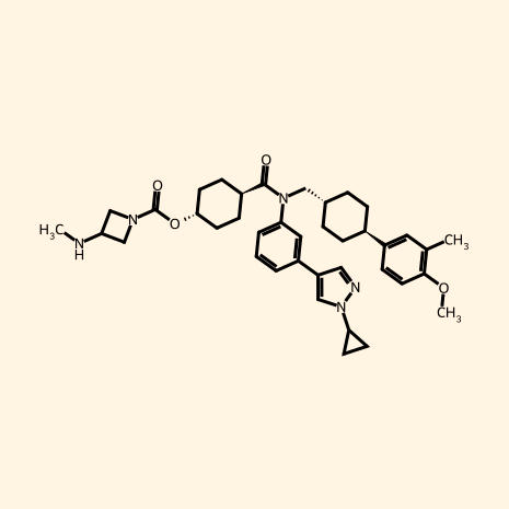 CNC1CN(C(=O)O[C@H]2CC[C@H](C(=O)N(C[C@H]3CC[C@H](c4ccc(OC)c(C)c4)CC3)c3cccc(-c4cnn(C5CC5)c4)c3)CC2)C1